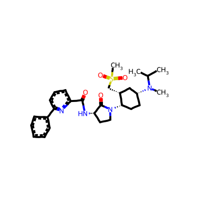 CC(C)N(C)[C@@H]1CC[C@H](N2CC[C@H](NC(=O)c3cccc(-c4ccccc4)n3)C2=O)[C@H](CS(C)(=O)=O)C1